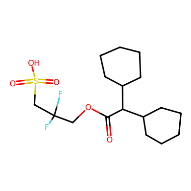 O=C(OCC(F)(F)CS(=O)(=O)O)C(C1CCCCC1)C1CCCCC1